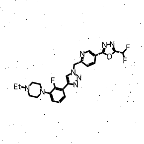 CCN1CCN(c2cccc(-c3cn(Cc4ccc(-c5nnc(C(F)F)o5)cn4)nn3)c2F)CC1